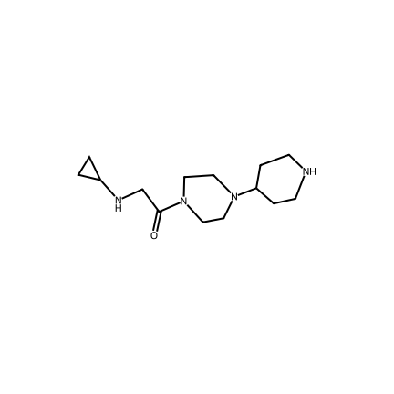 O=C(CNC1CC1)N1CCN(C2CCNCC2)CC1